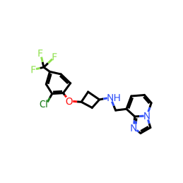 FC(F)(F)c1ccc(OC2CC(NCc3cccn4ccnc34)C2)c(Cl)c1